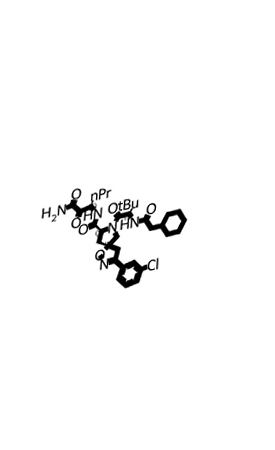 CCC[C@H](NC(=O)[C@@H]1C[C@]2(CC(c3cccc(Cl)c3)=NO2)CN1C(=O)[C@@H](NC(=O)CC1CCCCC1)C(C)(C)C)C(=O)C(N)=O